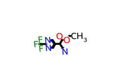 CCOC(=O)C(C#N)c1cnc(C(F)(F)F)nc1